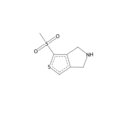 CS(=O)(=O)c1scc2c1CNC2